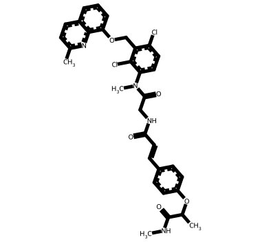 CNC(=O)C(C)Oc1ccc(C=CC(=O)NCC(=O)N(C)c2ccc(Cl)c(COc3cccc4ccc(C)nc34)c2Cl)cc1